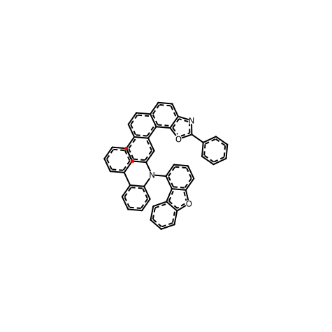 c1ccc(-c2nc3ccc4ccc5ccc(N(c6ccccc6-c6ccccc6)c6cccc7oc8ccccc8c67)cc5c4c3o2)cc1